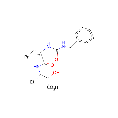 CCC(NC(=O)[C@H](CC(C)C)NC(=O)NCc1ccccc1)C(O)C(=O)O